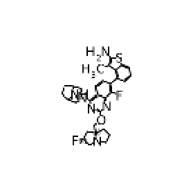 Cc1c(N)sc2cccc(-c3ccc4c(N5CC6CCC(C5)N6)nc(OC[C@@]56CCCN5C[C@H](F)C6)nc4c3F)c12